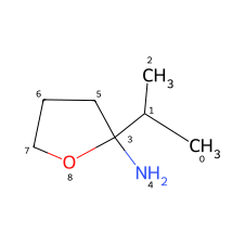 CC(C)C1(N)CCCO1